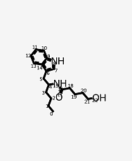 CCCCC(Cc1c[nH]c2ccccc12)NC(=O)CCCCO